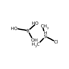 C[SiH](C)Cl.OB(O)O